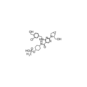 CP(=O)(O)OC1CCC(NC(=O)c2cnc(N3CC4CC4C3CO)nc2NCc2ccc(CO)c(Cl)c2)CC1